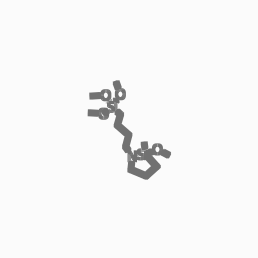 CO[Si](CCCCN1CCC[Si]1(C)OC)(OC)OC